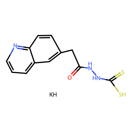 O=C(Cc1ccc2ncccc2c1)NNC(=S)S.[KH]